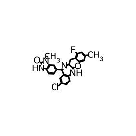 Cc1ccc(CC2N=C(c3ccc4[nH]c(=O)n(C)c4c3)c3cc(Cl)ccc3NC2=O)c(F)c1